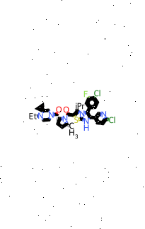 CCN1CCN(C(=O)[C@@H]2CC[C@@H](C)N2C(=O)C2=C(C(C)C)N3C(NC(c4ccc(Cl)nc4)C3c3ccc(Cl)c(F)c3)S2)CC12CC2